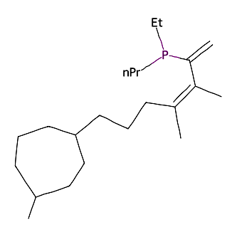 C=C(/C(C)=C(/C)CCCC1CCCC(C)CC1)P(CC)CCC